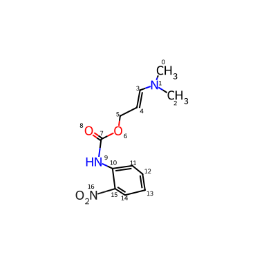 CN(C)C=CCOC(=O)Nc1ccccc1[N+](=O)[O-]